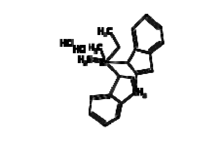 C[CH2][Zr]([CH3])(=[SiH2])([CH]1C=Cc2ccccc21)[CH]1C(C)=Cc2ccccc21.Cl.Cl